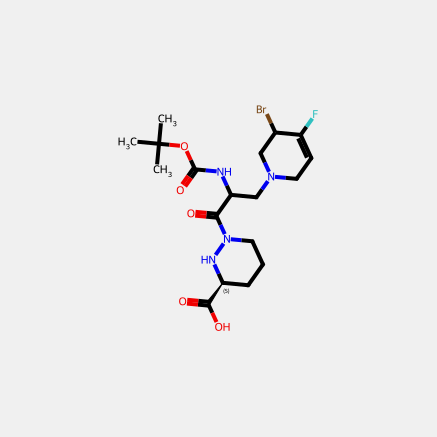 CC(C)(C)OC(=O)NC(CN1CC=C(F)C(Br)C1)C(=O)N1CCC[C@@H](C(=O)O)N1